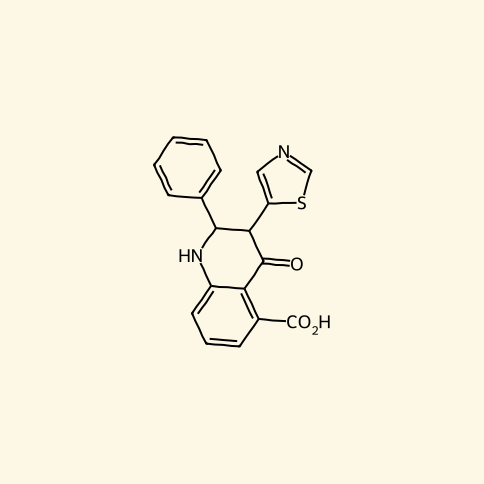 O=C(O)c1cccc2c1C(=O)C(c1cncs1)C(c1ccccc1)N2